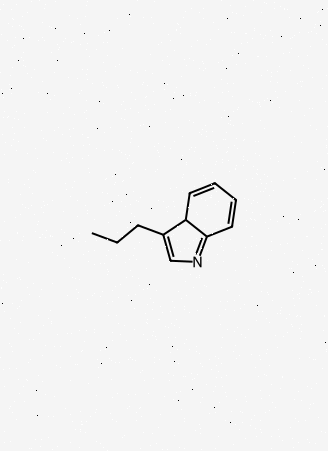 CCCC1=CN=C2C=CC=CC12